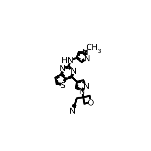 Cn1cc(Nc2nc(-c3cnn(C4(CC#N)COC4)c3)c3sccc3n2)cn1